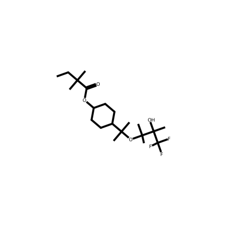 CCC(C)(C)C(=O)OC1CCC(C(C)(C)OC(C)(C)C(C)(O)C(F)(F)F)CC1